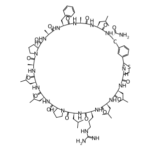 CC(C)C[C@@H]1NC(=O)[C@@H]2CSC(=N2)c2cccc(c2)C[C@@H](C(N)=O)NC(=O)[C@H](CC(C)C)NC(=O)[C@H](C)NC(=O)[C@H](Cc2ccccc2)NC(=O)[C@H](C)NC(=O)[C@@H]2CCCN2C(=O)[C@H](C)NC(=O)[C@H](CC(C)C)NC(=O)[C@H](CC(C)C)NC(=O)[C@@H]2CCCN2C(=O)[C@H](CC(C)C)NC(=O)[C@H](CCCNC(=N)N)NC(=O)[C@H](CC(C)C)NC1=O